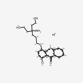 I.NC(CCO)(CCO)CCCOc1ccc(Cl)c2c(=O)c3ccccc3sc12